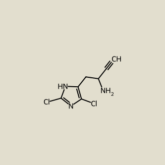 C#CC(N)Cc1[nH]c(Cl)nc1Cl